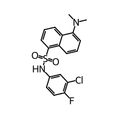 CN(C)c1cccc2c(S(=O)(=O)Nc3ccc(F)c(Cl)c3)cccc12